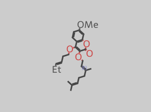 CCC=CCCOc1c(OC/C=C(\C)CCC=C(C)C)c(=O)oc2cc(OC)ccc12